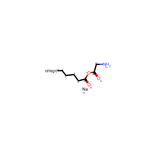 CCCCCCCCCCCC(=O)OC(=O)CN.[Na]